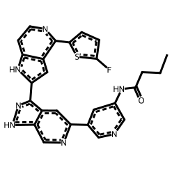 CCCC(=O)Nc1cncc(-c2cc3c(-c4cc5c(-c6ccc(F)s6)nccc5[nH]4)n[nH]c3cn2)c1